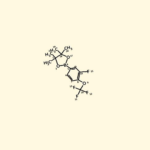 CC1(C)OB(c2ccc(OC(F)(F)F)c(F)c2)OC1(C)C